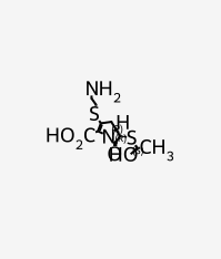 C[C@@H](O)S[C@H]1C(=O)N2C(C(=O)O)=C(SCCN)C[C@H]12